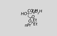 CCCC(CC)(CC)OC(=O)CC(O)(CC(=O)O)C(=O)O